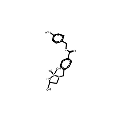 CCCCc1ccc(COC(=O)c2ccc(CN3CC(O)NS3(O)O)cc2)cc1